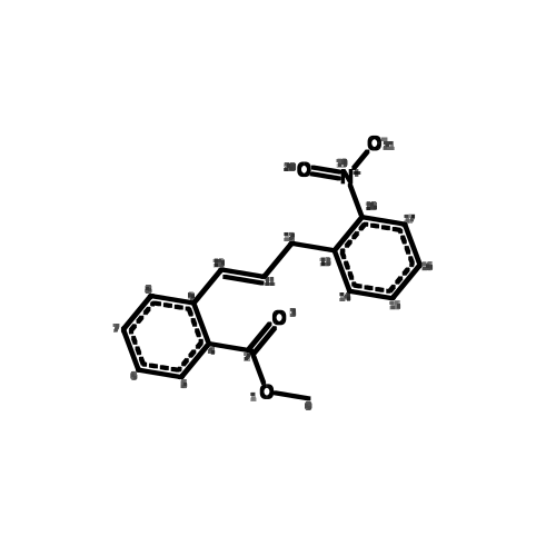 COC(=O)c1ccccc1C=CCc1ccccc1[N+](=O)[O-]